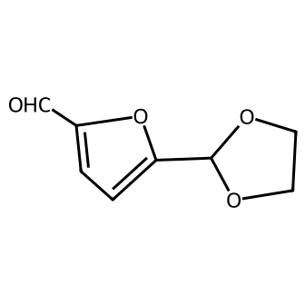 O=Cc1ccc(C2OCCO2)o1